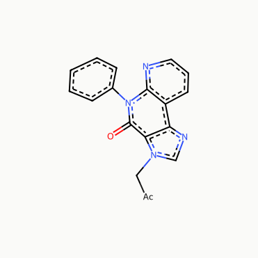 CC(=O)Cn1cnc2c3cccnc3n(-c3ccccc3)c(=O)c21